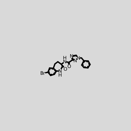 O=C(NC1CCc2cc(Br)ccc2NC1=O)c1ncn(Cc2ccccc2)n1